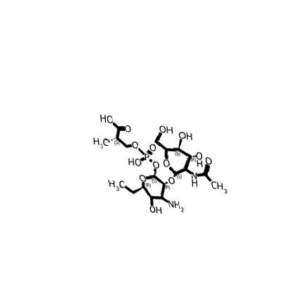 CC[C@H]1O[C@@H](OP(=O)(O)OC[C@H](C)C(=O)O)[C@H](O[C@@H]2OC(CO)[C@@H](O)[C@H](O)C2NC(C)=O)C(N)C1O